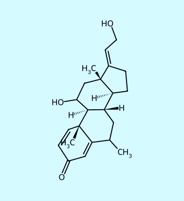 CC1C[C@@H]2[C@H](C(O)C[C@]3(C)C(=CCO)CC[C@@H]23)[C@@]2(C)C=CC(=O)C=C12